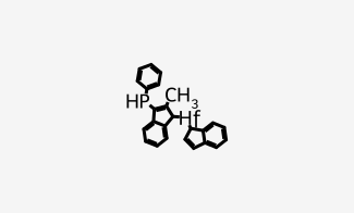 CC1=C(Pc2ccccc2)c2ccccc2[CH]1[Hf][CH]1C=Cc2ccccc21